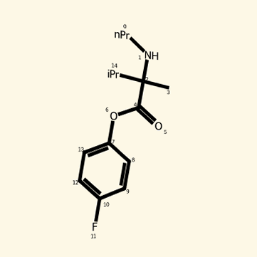 CCCNC(C)(C(=O)Oc1ccc(F)cc1)C(C)C